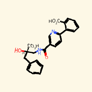 O=C(NC[C@@](O)(Cc1ccccc1)C(=O)O)c1ccc(-c2ccccc2C(=O)O)nc1